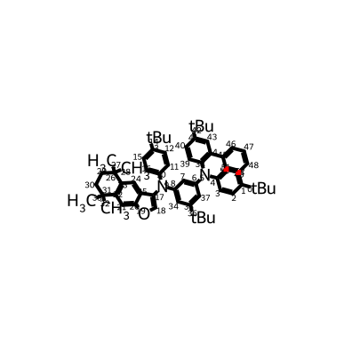 CC(C)(C)c1ccc(N(c2cc(N(c3ccc(C(C)(C)C)cc3)c3coc4cc5c(cc34)C(C)(C)CCC5(C)C)cc(C(C)(C)C)c2)c2ccc(C(C)(C)C)cc2-c2ccccc2)cc1